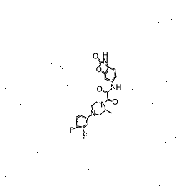 C[C@H]1CN(c2ccc(F)c(F)c2)CCN1C(=O)C(=O)Nc1ccc2[nH]c(=O)oc2c1